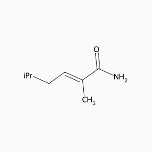 C/C(=C\CC(C)C)C(N)=O